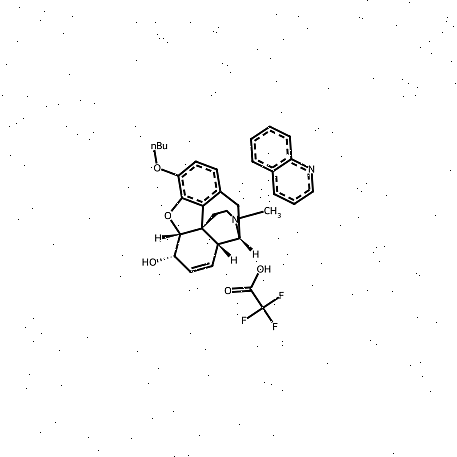 CCCCOc1ccc2c3c1O[C@H]1[C@@H](O)C=C[C@H]4[C@@H](C2)N(C)CC[C@@]341.O=C(O)C(F)(F)F.c1ccc2ncccc2c1